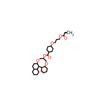 C=CC(=O)OCCCOC1CCC(C(=O)OC2COC3CCC4CCCCC4C3C3C(CCC4CCCCC43)OC2)CC1